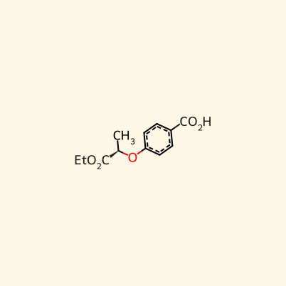 CCOC(=O)[C@@H](C)Oc1ccc(C(=O)O)cc1